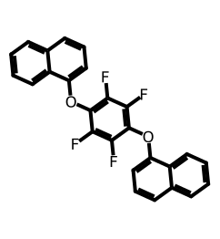 Fc1c(F)c(Oc2cccc3ccccc23)c(F)c(F)c1Oc1cccc2ccccc12